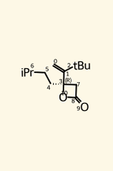 C=C(C(C)(C)C)[C@@]1(CCC(C)C)CC(=O)O1